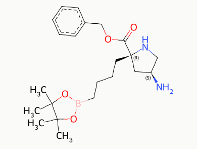 CC1(C)OB(CCCC[C@]2(C(=O)OCc3ccccc3)C[C@H](N)CN2)OC1(C)C